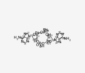 CC[C@@]12CO[P@@](=O)(S)O[C@H]3C[C@H](n4cnc5c(N)ncnc54)O[C@]3(CC)COP(=O)(S)O[C@H]1C[C@H](n1cnc3c(N)ncnc31)O2